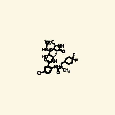 C[C@@H]1C[C@@H](C[C@H](NC(=O)c2cc(Cl)ccc2NC(=O)N(C)CC2CCC(F)(F)CC2)C(O)C(=O)NC2CC2)C(=O)N1